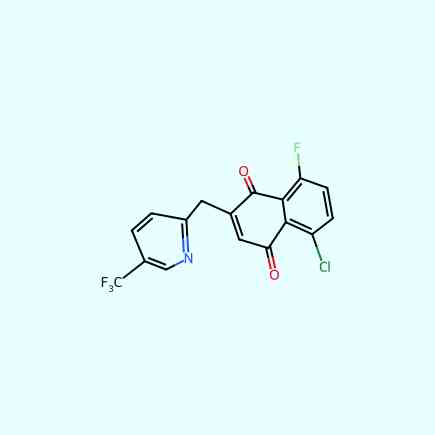 O=C1C(Cc2ccc(C(F)(F)F)cn2)=CC(=O)c2c(Cl)ccc(F)c21